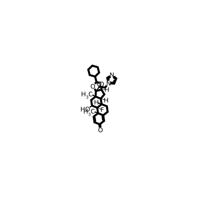 C[C@]12C=CC(=O)C=C1CC[C@H]1[C@@H]3C[C@@H]4OC(C5CCCCC5)O[C@@]4(C(=O)Cn4ccnc4)[C@@]3(C)C[C@H](O)[C@@]12F